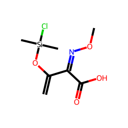 C=C(O[Si](C)(C)Cl)C(=NOC)C(=O)O